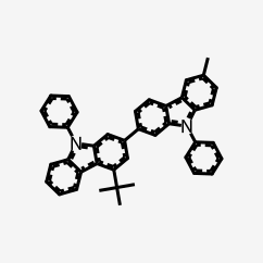 Cc1ccc2c(c1)c1ccc(-c3cc(C(C)(C)C)c4c5ccccc5n(-c5ccccc5)c4c3)cc1n2-c1ccccc1